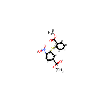 COC(=O)c1ccc([N+](=O)[O-])c(Sc2ccccc2C(=O)OC)c1